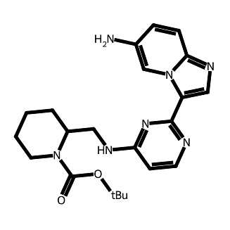 CC(C)(C)OC(=O)N1CCCCC1CNc1ccnc(-c2cnc3ccc(N)cn23)n1